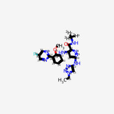 [2H]C([2H])([2H])NC(=O)c1nnc(Nc2cn(CC)nn2)cc1Nc1cccc(-c2ncc(F)cn2)c1OC